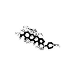 CCCCN(c1ccc2c(c1O)C(=O)C1=C(O)[C@]3(O)C(=O)C(C(N)=O)=C(O)[C@H](N(C)C)[C@H]3[C@H](O)[C@H]1[C@@H]2C)C1CCN(C)CC1